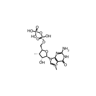 C[C@H]1[C@@H](O)[C@H](n2c[n+](C)c3c(=O)[nH]c(N)nc32)O[C@@H]1COP(=O)(O)OP(=O)(O)O